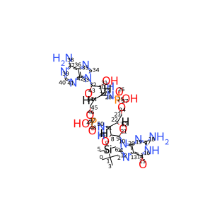 CC(C)(C)[Si](C)(C)OC1[C@H](n2cnc3c(=O)[nH]c(N)nc32)O[C@@H]2COP(=O)(O)N[C@H]3[C@@H](O)[C@H](n4cnc5c(N)ncnc54)O[C@@H]3COP(=O)(O)N[C@@H]12